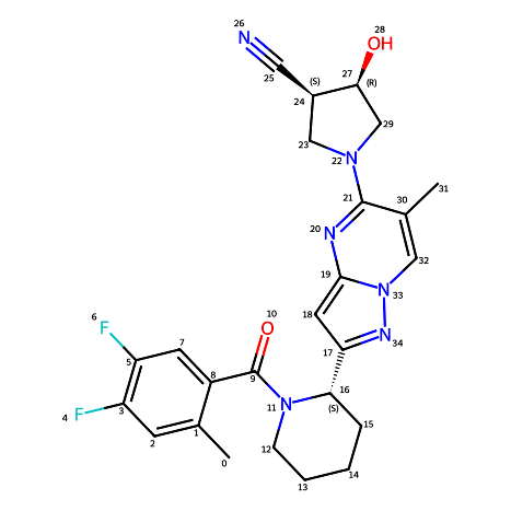 Cc1cc(F)c(F)cc1C(=O)N1CCCC[C@H]1c1cc2nc(N3C[C@@H](C#N)[C@@H](O)C3)c(C)cn2n1